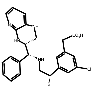 C[C@H](CN[C@H](c1ccccc1)[C@H]1CNc2cccnc2N1)c1cc(Cl)cc(CC(=O)O)c1